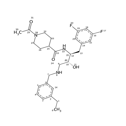 CCc1cccc(CNC[C@@H](O)[C@H](Cc2cc(F)cc(F)c2)NC(=O)C2CCN(C(C)=O)CC2)c1